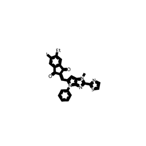 CCc1cc2c(cc1I)C(=O)/C(=C/c1cc3c(nc(-c4nccs4)n3C)n1-c1ccccc1)C2=O